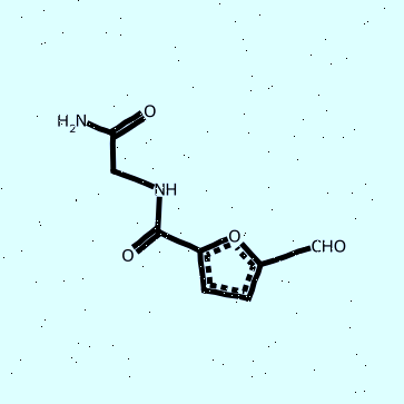 NC(=O)CNC(=O)c1ccc(C=O)o1